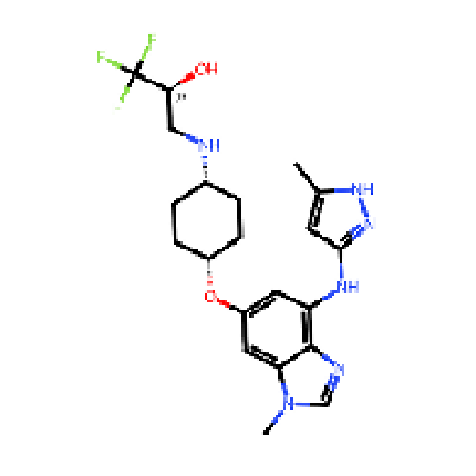 Cc1cc(Nc2cc(O[C@H]3CC[C@@H](NC[C@H](O)C(F)(F)F)CC3)cc3c2ncn3C)n[nH]1